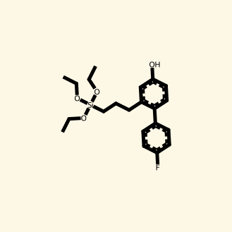 CCO[Si](CCCc1cc(O)ccc1-c1ccc(F)cc1)(OCC)OCC